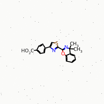 CC1(C)N=C(c2nc(-c3ccc(C(=O)O)cc3)cs2)Oc2ccccc21